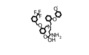 COc1cccc(Oc2ccccc2CN(CC[C@H](N)C(=O)O)Cc2ccccc2OCc2cccc(C(F)(F)F)c2)c1